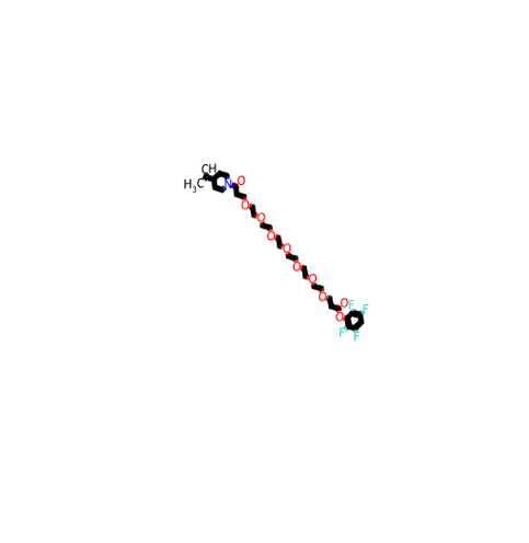 CC(C)C1CCN(C(=O)CCOCCOCCOCCOCCOCCOCCOCCC(=O)Oc2c(F)c(F)cc(F)c2F)CC1